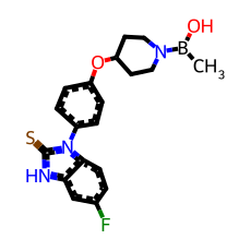 CB(O)N1CCC(Oc2ccc(-n3c(=S)[nH]c4cc(F)ccc43)cc2)CC1